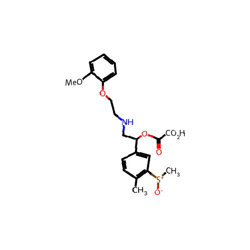 COc1ccccc1OCCNCC(OC(=O)C(=O)O)c1ccc(C)c([S+](C)[O-])c1